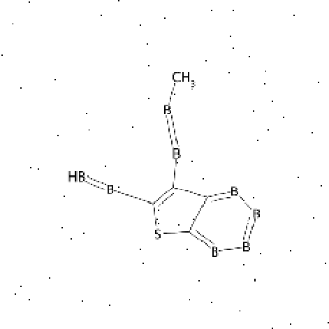 B=Bc1sc2bbbbc2c1/B=B\C